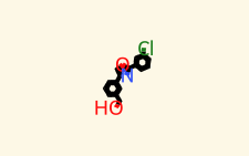 OCc1cccc(-c2coc(-c3cccc(Cl)c3)n2)c1